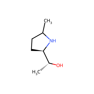 CC1CC[C@H]([C@@H](C)O)N1